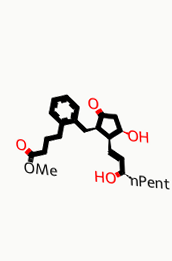 CCCCC[C@H](O)/C=C/[C@@H]1[C@@H](O)CC(=O)[C@@H]1Cc1ccccc1CCCC(=O)OC